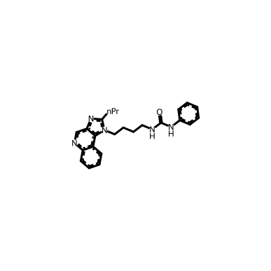 CCCc1nc2cnc3ccccc3c2n1CCCCNC(=O)Nc1ccccc1